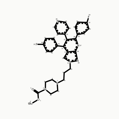 CC(C)(C)OC(=O)N1CCN(CCCn2cc3c(-c4ccc(F)cc4)c(-c4ccncc4)c(-c4ccc(F)cc4)nc3n2)CC1